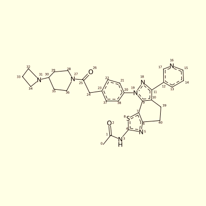 CC(=O)Nc1nc2c(s1)-c1c(c(-c3cccnc3)nn1-c1ccc(CC(=O)N3CCC(N4CCC4)CC3)cc1)CC2